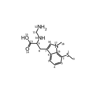 CSc1cccc2c(CC(NCN)C(=O)O)cn(C)c12